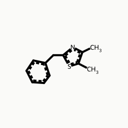 Cc1nc(Cc2ccccc2)sc1C